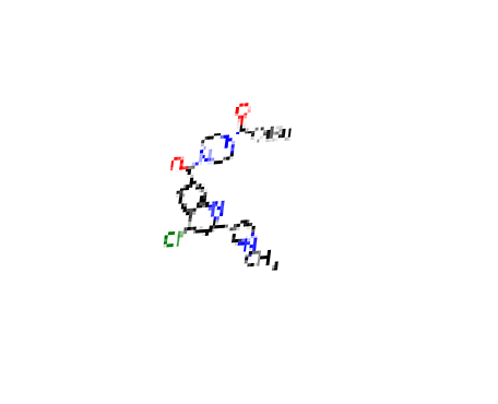 CC(C)COC(=O)N1CCN(C(=O)c2ccc3c(Cl)cc(-c4ccn(C)c4)nc3c2)CC1